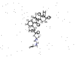 C#C/C=C\C=C(/C)CC(=O)NCc1ccccc1C(=O)N(C(=C)C)C1CCC(=O)NC1=O